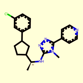 C[C@H](Nc1nnc(-c2ccncc2)n1C)C1CCC(c2cccc(Cl)c2)C1